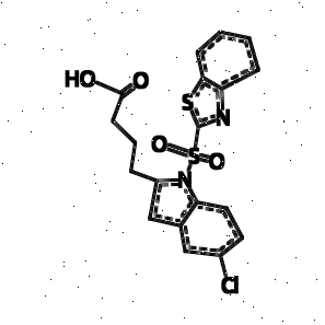 O=C(O)CCCc1cc2cc(Cl)ccc2n1S(=O)(=O)c1nc2ccccc2s1